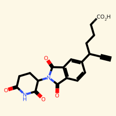 C#CC(CCCC(=O)O)c1ccc2c(c1)C(=O)N(C1CCC(=O)NC1=O)C2=O